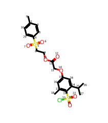 Cc1ccc(S(=O)(=O)CCOC(=O)COc2cc(C)c(S(=O)(=O)Cl)c(C(C)C)c2)cc1